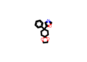 c1ccc(C2(c3cnco3)CCC3(CC2)OCCO3)cc1